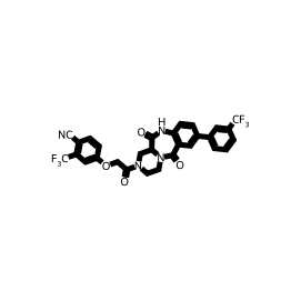 N#Cc1ccc(OCC(=O)N2CCN3C(=O)c4cc(-c5cccc(C(F)(F)F)c5)ccc4NC(=O)C3C2)cc1C(F)(F)F